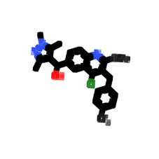 COc1nc2ccc(C(O)c3c(C)nn(C)c3C)cc2c(Cl)c1Cc1ccc(C(F)(F)F)cc1